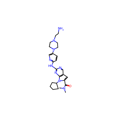 CN(C)C(=O)c1cc2cnc(Nc3ccc(N4CCN(CCN)CC4)cn3)nc2n1C1CCCC1